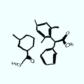 CC1CCCC(C(=O)O)C1.Cc1cc(C)c(C(C(=O)O)c2ccccc2)c(C)c1